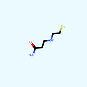 NC(=O)CCNCCS